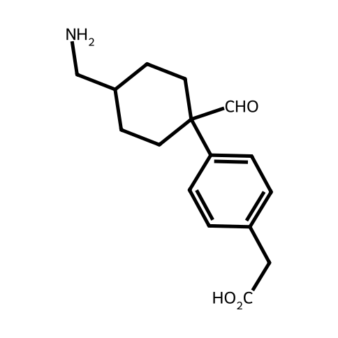 NCC1CCC(C=O)(c2ccc(CC(=O)O)cc2)CC1